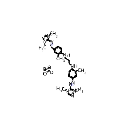 Cc1cc(/N=N/c2n(C)nc[n+]2C)ccc1NCCCNc1ccc(/N=N/c2n(C)nc[n+]2C)cc1C.O=S(=O)([O-])[O-]